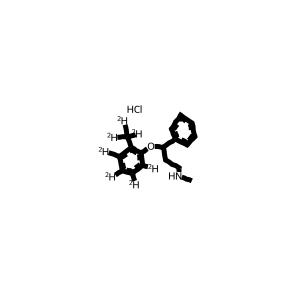 Cl.[2H]c1c([2H])c([2H])c(C([2H])([2H])[2H])c(OC(CCNC)c2ccccc2)c1[2H]